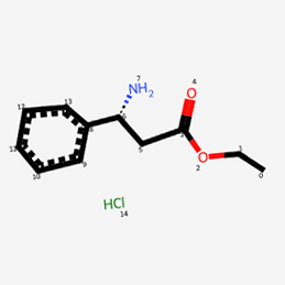 CCOC(=O)C[C@@H](N)c1ccccc1.Cl